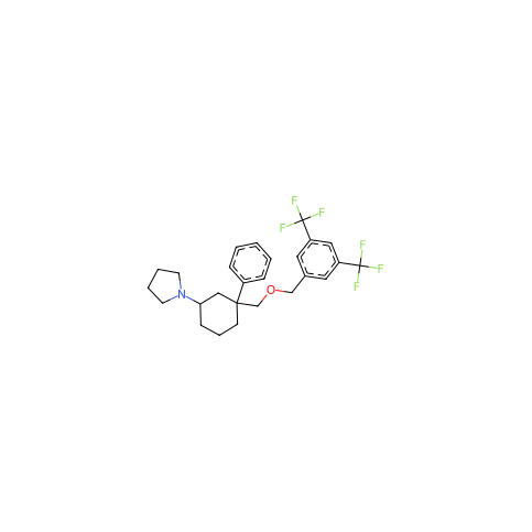 FC(F)(F)c1cc(COCC2(c3ccccc3)CCCC(N3CCCC3)C2)cc(C(F)(F)F)c1